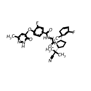 Cc1cc(Oc2ccc(C(=O)NCC(=O)N3[C@H](C4(C)C=C(F)C=CC4)CC[C@@H]3C(C)(C)C#N)cc2F)c(=O)[nH]n1